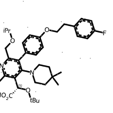 Cc1nc(COC(C)C)c(-c2ccc(OCCc3ccc(F)cc3)cc2)c(N2CCC(C)(C)CC2)c1[C@H](OC(C)(C)C)C(=O)O